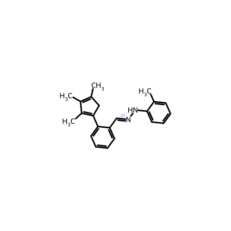 CC1=C(C)C(C)=C(c2ccccc2/C=N/Nc2ccccc2C)C1